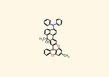 Cc1cc2c3c(c1)Oc1cc4c(cc1B3c1ccccc1O2)C(C)(C)c1cccc2c(N(c3ccccc3)c3ccccc3)ccc-4c12